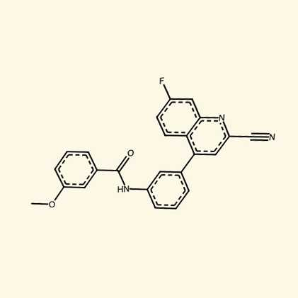 COc1cccc(C(=O)Nc2cccc(-c3cc(C#N)nc4cc(F)ccc34)c2)c1